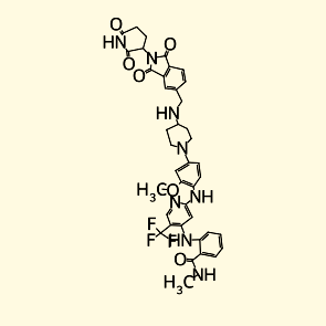 CNC(=O)c1ccccc1Nc1cc(Nc2ccc(N3CCC(NCc4ccc5c(c4)C(=O)N(C4CCC(=O)NC4=O)C5=O)CC3)cc2OC)ncc1C(F)(F)F